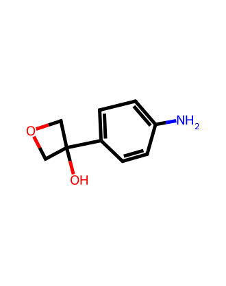 Nc1ccc(C2(O)COC2)cc1